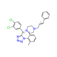 Cc1cccc(C)c1-n1nnnc1[C@H](c1ccc(Cl)c(Cl)c1)N1CCN(C/C=C/c2ccccc2)CC1